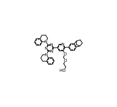 OCCOCOc1cc(-c2nc(N3CCCc4ccccc43)nc(N3CCCc4ccccc43)n2)cnc1-c1ccc2c(c1)C1CCC2C1